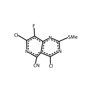 CSc1nc(Cl)c2c(C#N)nc(Cl)c(F)c2n1